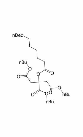 CCCCCCCCCCCCCCCC(=O)OC(CC(=O)OCCCC)(CC(=O)OCCCC)C(=O)OCCCC